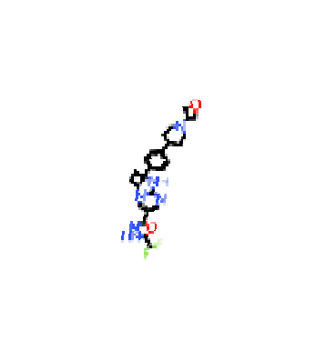 FC(F)C1NN=C(c2cnc(NC3(c4ccc(C5CCN(C6COC6)CC5)cc4)CCC3)nc2)O1